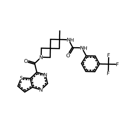 CC1(NC(=O)Nc2cccc(C(F)(F)F)c2)CC2(CN(C(=O)c3ncnc4ccsc34)C2)C1